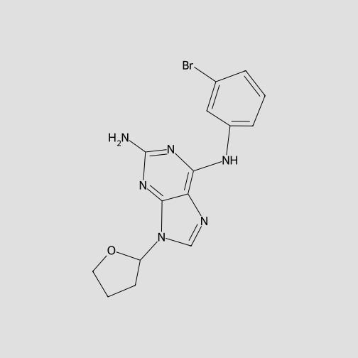 Nc1nc(Nc2cccc(Br)c2)c2ncn(C3CCCO3)c2n1